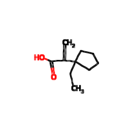 C=C(C(=O)O)C1(CC)CCCC1